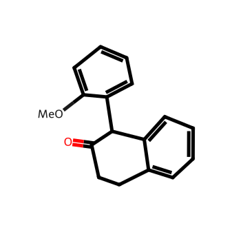 COc1ccccc1C1C(=O)CCc2ccccc21